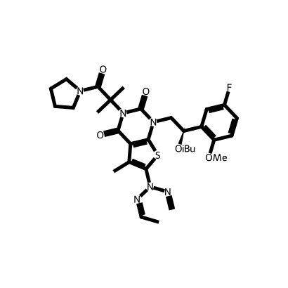 C=NN(/N=C\C)c1sc2c(c1C)c(=O)n(C(C)(C)C(=O)N1CCCC1)c(=O)n2C[C@H](OCC(C)C)c1cc(F)ccc1OC